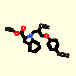 CCCCCCCCc1ccc(OCC(Cn2c(C(=O)OC(C)(C)C)cc3ccccc32)OC(C)=O)cc1